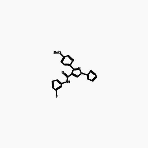 COc1ccc(-c2nn(-c3ccccc3)cc2C(=O)Nc2cccc(F)c2)cc1